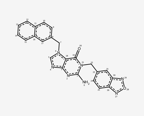 Nc1nc2ncn(Cc3ccc4ccccc4c3)c2c(=O)n1Cc1ccc2nonc2c1